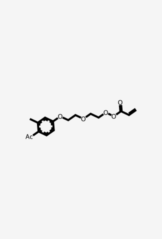 C=CC(=O)OOCCOCCOc1ccc(C(C)=O)c(C)c1